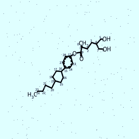 C=C(CCC(CO)CO)C(=O)Oc1ccc(C2CCC(CCCCC)CC2)cc1